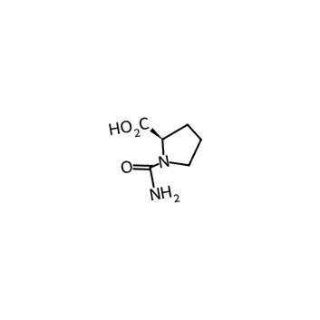 NC(=O)N1CCC[C@@H]1C(=O)O